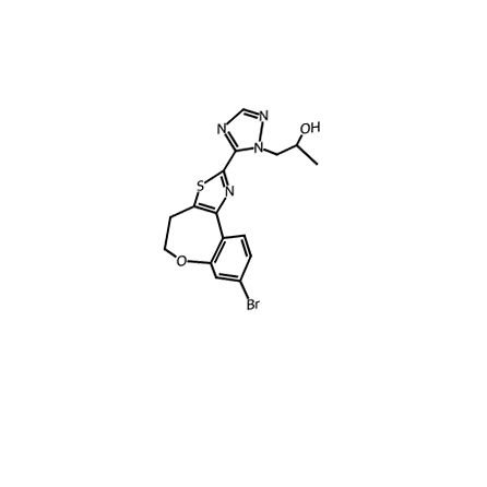 CC(O)Cn1ncnc1-c1nc2c(s1)CCOc1cc(Br)ccc1-2